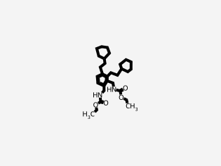 CCOC(=O)NCc1ccc(CCC2CCCCC2)c(CCC2CCCCC2)c1CNC(=O)OCC